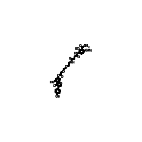 COc1ccc(NC(=O)CCC(=O)NCCOCCOCC(=O)Oc2cc(O)c3c(=O)c(-c4ccc(O)cc4)coc3c2)c(O)c1C(N)=O